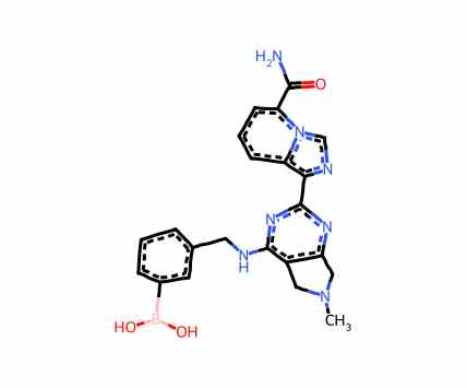 CN1Cc2nc(-c3ncn4c(C(N)=O)cccc34)nc(NCc3cccc(B(O)O)c3)c2C1